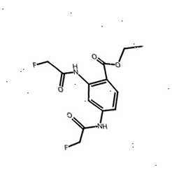 CCOC(=O)c1ccc(NC(=O)CF)cc1NC(=O)CF